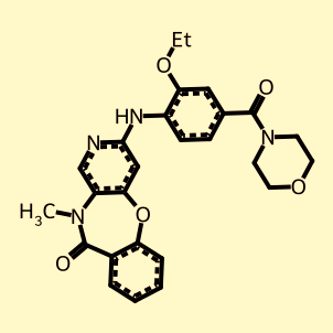 CCOc1cc(C(=O)N2CCOCC2)ccc1Nc1cc2c(cn1)N(C)C(=O)c1ccccc1O2